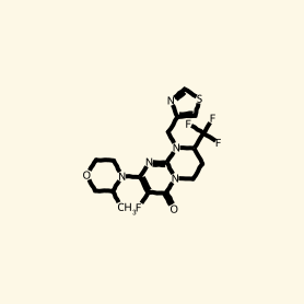 CC1COCCN1c1nc2n(c(=O)c1F)CCC(C(F)(F)F)N2Cc1cscn1